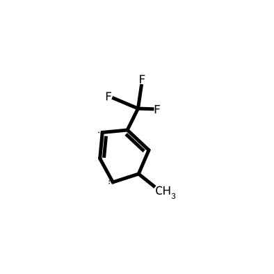 CC1[C]C=[C]C(C(F)(F)F)=C1